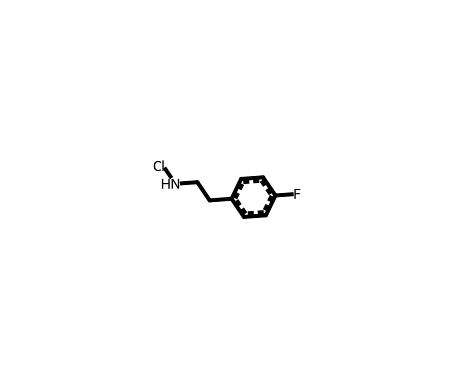 Fc1ccc(CCNCl)cc1